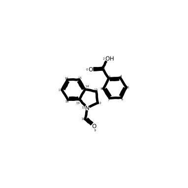 O=C(O)c1ccccc1.O=CN1CCc2ccccc21